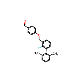 Cc1cccc(C)c1-c1cccc(COc2ccc(C=O)cc2)c1F